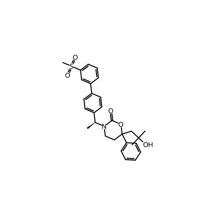 C[C@@H](c1ccc(-c2cccc(S(C)(=O)=O)c2)cc1)N1CCC(CC(C)(C)O)(c2ccccc2)OC1=O